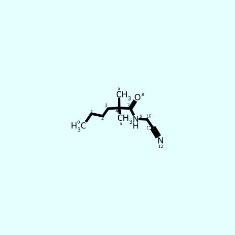 CCCCC(C)(C)C(=O)NCC#N